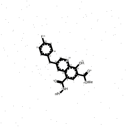 CCCNC(=O)c1cc(C(=O)OC)c(O)c2ncc(Cc3ccc(F)cc3)cc12